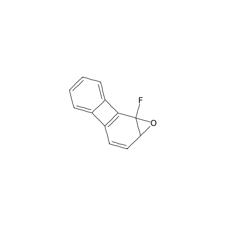 FC12OC1C=CC1=C2c2ccccc21